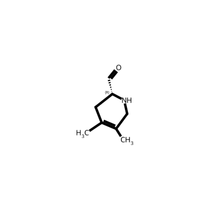 CC1=C(C)C[C@H](C=O)NC1